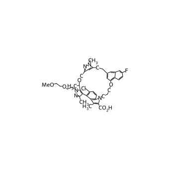 COCCOCCn1nc(C)c2c1C(C)OCc1cc(n(C)n1)CCc1cc(c3ccc(F)cc3c1)OCCCn1c(C(=O)O)c(C)c3c-2c(Cl)ccc31